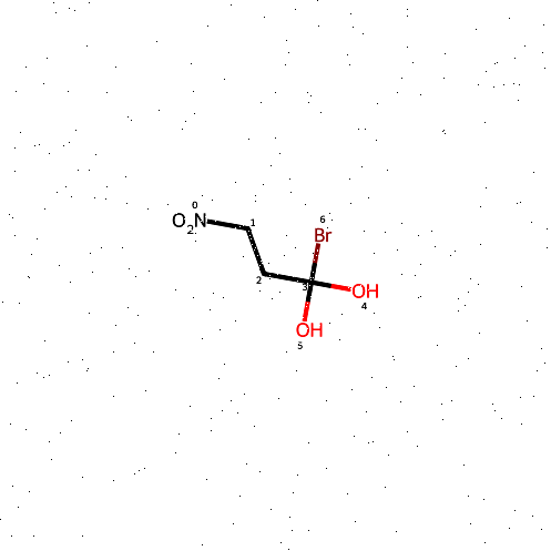 O=[N+]([O-])CCC(O)(O)Br